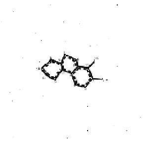 Ic1ccc2c(ccc3ccccc32)c1I